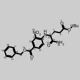 CC(C)(C)OC(=O)CC[C@H](Nc1ccc(C(=O)OCc2ccccc2)cc1[N+](=O)[O-])C(N)=O